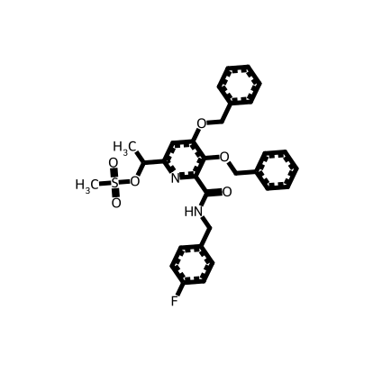 CC(OS(C)(=O)=O)c1cc(OCc2ccccc2)c(OCc2ccccc2)c(C(=O)NCc2ccc(F)cc2)n1